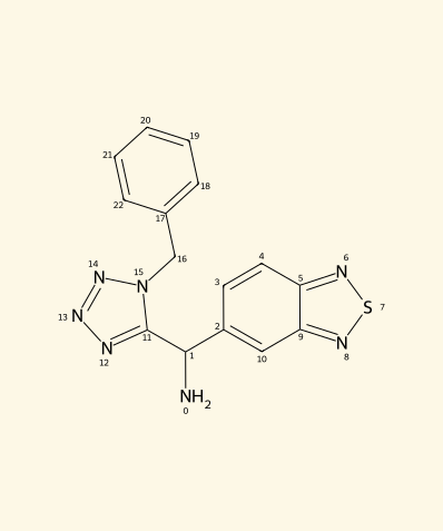 NC(c1ccc2nsnc2c1)c1nnnn1Cc1ccccc1